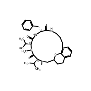 CC(C)[C@@H]1NCC2CCc3cccc(c3O2)CCCNC(=O)[C@@H](Cc2ccccc2)NC(=O)[C@H](C(C)O)N(C)C1=O